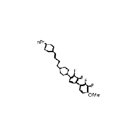 CCCC1CCC(/C=C/CCC2CCC(c3ccc(-c4ccc(OC)c(F)c4F)c(F)c3F)CC2)CC1